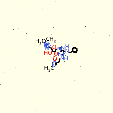 CC(C)n1nnc(C2O[C@@H](n3cnc4c(NCc5ccccc5)nc(NCCc5cn(C)cn5)nc43)[C@H](OC=O)C2O)n1